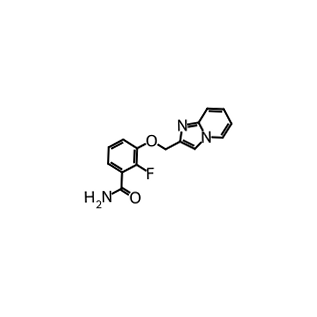 NC(=O)c1cccc(OCc2cn3ccccc3n2)c1F